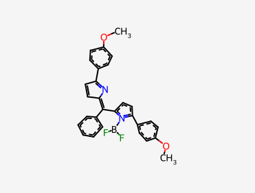 COc1ccc(C2=N/C(=C(/c3ccccc3)c3ccc(-c4ccc(OC)cc4)n3B(F)F)C=C2)cc1